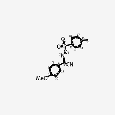 COc1ccc(C(C#N)=NOS(=O)(=O)c2ccc(C)cc2)cc1